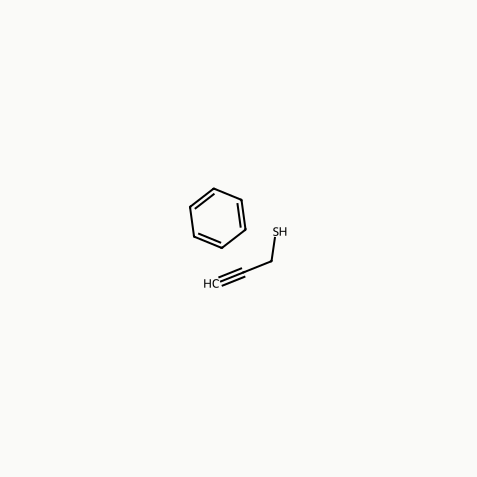 C#CCS.c1ccccc1